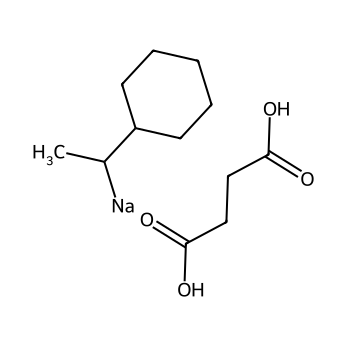 C[CH]([Na])C1CCCCC1.O=C(O)CCC(=O)O